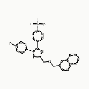 CS(=O)(=O)c1ccc(-c2sc(COCc3ccc4ccccc4c3)nc2-c2ccc(F)cc2)cc1